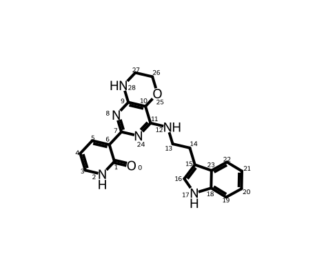 O=c1[nH]cccc1-c1nc2c(c(NCCc3c[nH]c4ccccc34)n1)OCCN2